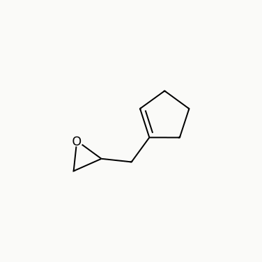 C1=C(CC2CO2)CCC1